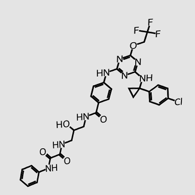 O=C(NCC(O)CNC(=O)c1ccc(Nc2nc(NC3(c4ccc(Cl)cc4)CC3)nc(OCC(F)(F)F)n2)cc1)C(=O)Nc1ccccc1